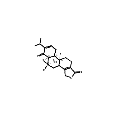 CC(C)C1=CC[C@@]2(O)[C@@]3(C)CCC4=C(COC4=O)C3C[C@@H]3O[C@@]32C1=O